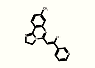 Cc1ccc2c(c1)N=C(/C=C(\O)c1cccnc1)N1CCN=C21